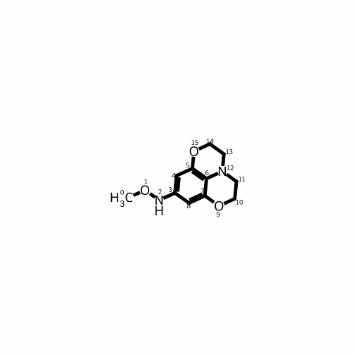 CONc1cc2c3c(c1)OCCN3CCO2